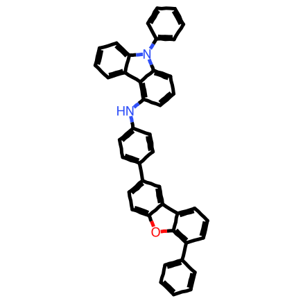 c1ccc(-c2cccc3c2oc2ccc(-c4ccc(Nc5cccc6c5c5ccccc5n6-c5ccccc5)cc4)cc23)cc1